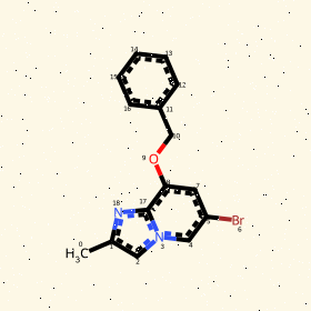 Cc1cn2cc(Br)cc(OCc3ccccc3)c2n1